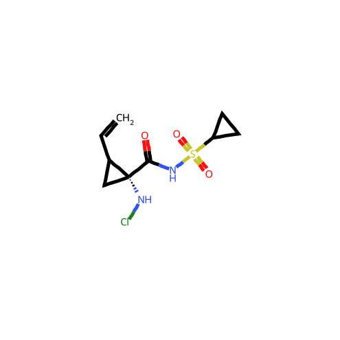 C=CC1C[C@]1(NCl)C(=O)NS(=O)(=O)C1CC1